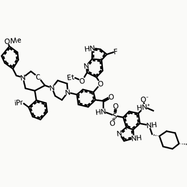 CCOc1nc2[nH]cc(F)c2cc1Oc1cc(N2CCN(C3CCN(Cc4ccc(OC)cc4)CC3c3ccccc3C(C)C)CC2)ccc1C(=O)NS(=O)(=O)c1cc([NH+](C)[O-])c(NC[C@H]2CC[C@@H](C)CC2)c2[nH]cnc12